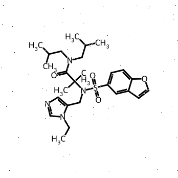 CCn1cncc1CN(C(C)(C)C(=O)N(CC(C)C)CC(C)C)S(=O)(=O)c1ccc2occc2c1